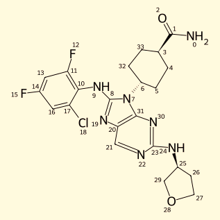 NC(=O)[C@H]1CC[C@H](n2c(Nc3c(F)cc(F)cc3Cl)nc3cnc(N[C@H]4CCOC4)nc32)CC1